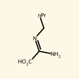 CCCCN=C(N)C(=O)O